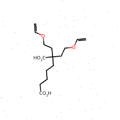 C=COCCC(CCCCC(=O)O)(CCOC=C)C(=O)O